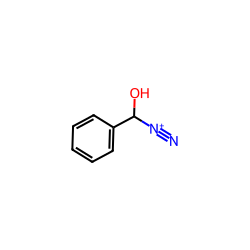 N#[N+]C(O)c1ccccc1